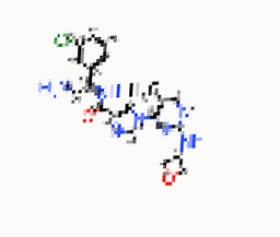 Cc1cnc(NC2COC2)nc1-n1cnc(C(=O)N[C@H](CN)c2cccc(Cl)c2)c1